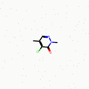 [CH2]c1cnn(C)c(=O)c1Cl